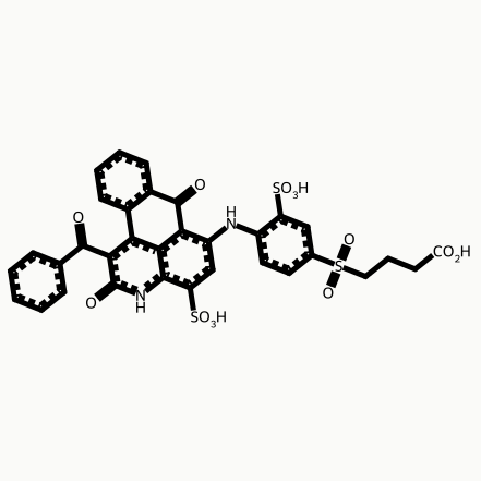 O=C(O)CCCS(=O)(=O)c1ccc(Nc2cc(S(=O)(=O)O)c3[nH]c(=O)c(C(=O)c4ccccc4)c4c3c2C(=O)c2ccccc2-4)c(S(=O)(=O)O)c1